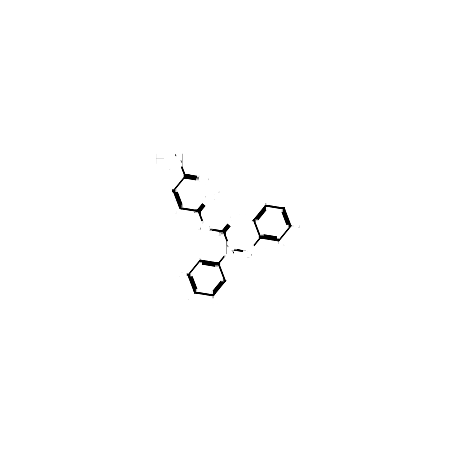 NC(=O)/C=C\C(=O)OC(=O)N(Sc1ccccc1)c1ccccc1